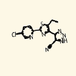 CCc1sc(-c2ccc(Cl)cn2)nc1-c1nn[nH]c1C#N